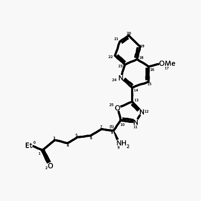 CCC(=O)CCCCC[C@H](N)c1nnc(-c2cc(OC)c3ccccc3n2)o1